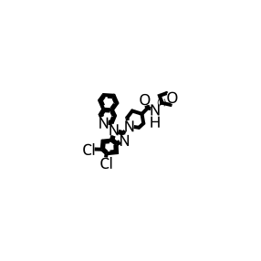 O=C(N[C@@H]1CCOC1)C1CCN(c2nc3cc(Cl)c(Cl)cc3n2-c2cc3ccccc3cn2)CC1